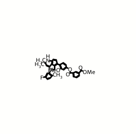 COC(=O)c1cccc(C(=O)Oc2ccc(-c3ccc4c5c3CN(c3cc(F)ccc3C)C5=CC(C)(C)N4)c(OC)c2)c1